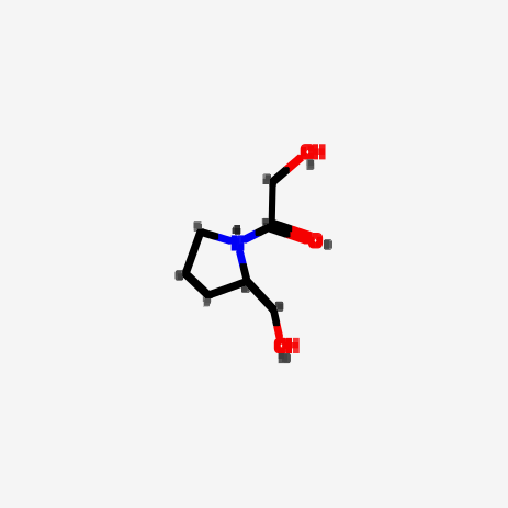 O=C(CO)N1CCCC1CO